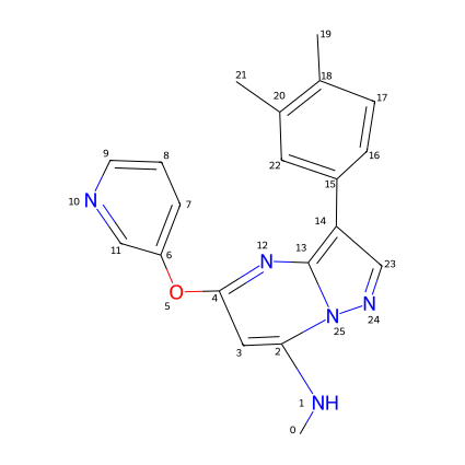 CNc1cc(Oc2cccnc2)nc2c(-c3ccc(C)c(C)c3)cnn12